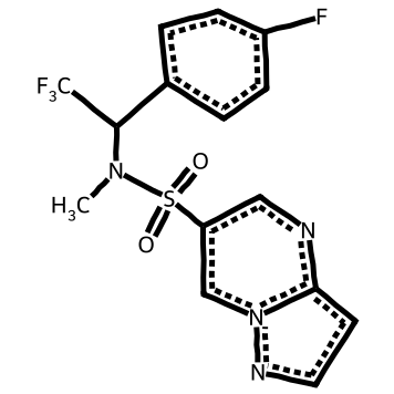 CN(C(c1ccc(F)cc1)C(F)(F)F)S(=O)(=O)c1cnc2ccnn2c1